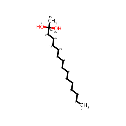 CCCCCCCCCCCCCCC(C)(O)O